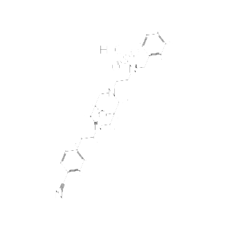 CS(=O)(=O)N(CCN1CC2CN(CCc3ccc(C#N)cc3)CC(C1)O2)Cc1ccccc1